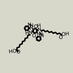 O=C(O)CCCCCCCCCCNC1=C(n2nnc3ccccc32)C(=O)C(NCCCCCCCCCCC(=O)O)=C(n2nnc3ccccc32)C1=O